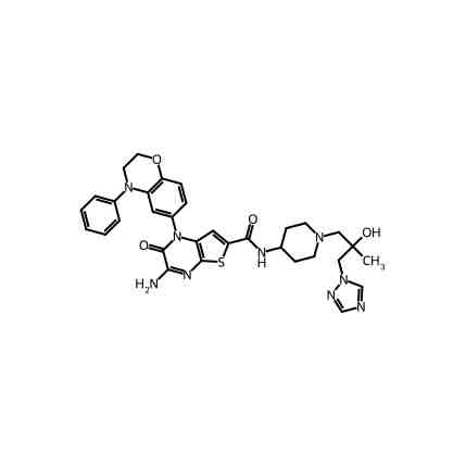 CC(O)(CN1CCC(NC(=O)c2cc3c(nc(N)c(=O)n3-c3ccc4c(c3)N(c3ccccc3)CCO4)s2)CC1)Cn1cncn1